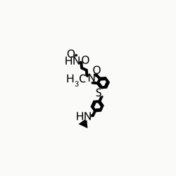 CC(CCC(=O)NC=O)N1Cc2c(SCc3ccc(CNC4CC4)cc3)cccc2C1=O